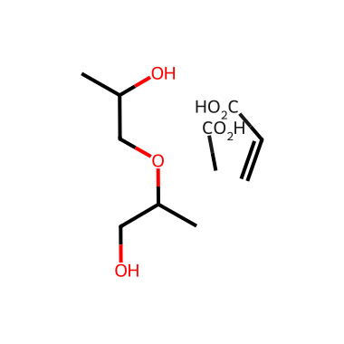 C=CC(=O)O.CC(=O)O.CC(O)COC(C)CO